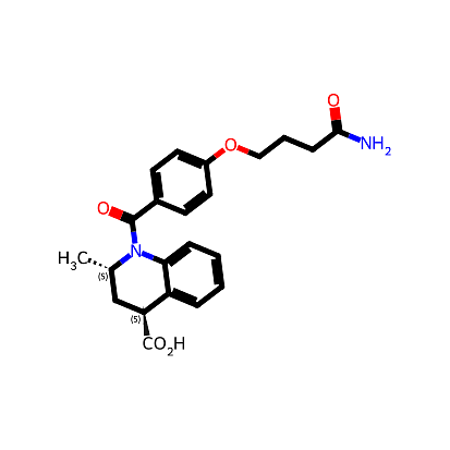 C[C@H]1C[C@H](C(=O)O)c2ccccc2N1C(=O)c1ccc(OCCCC(N)=O)cc1